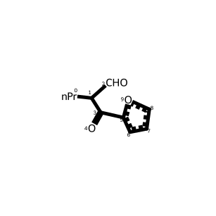 CCCC(C=O)C(=O)c1ccco1